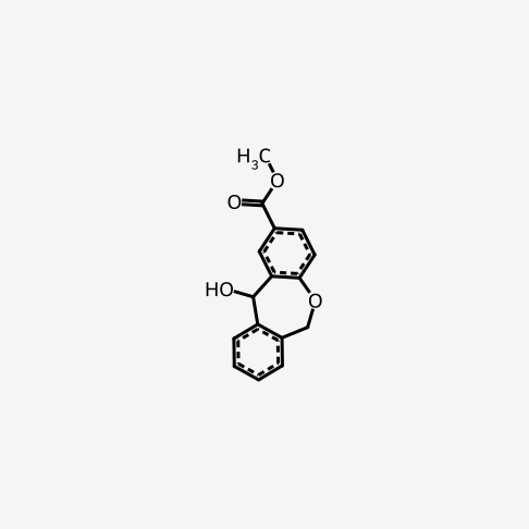 COC(=O)c1ccc2c(c1)C(O)c1ccccc1CO2